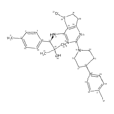 Cc1ccc([C@@H](Nc2nc(N3CCC(c4ccc(I)cc4)CC3)nc3c2[S+]([O-])CC3)C(C)(C)O)cc1